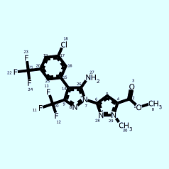 COC(=O)c1cc(-n2nc(C(F)(F)F)c(-c3cc(Cl)cc(C(F)(F)F)c3)c2N)nn1C